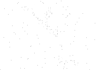 CC1(C)CCC(CN2CCN(c3ccc(C(=O)NS(=O)(=O)c4ccc(NCC5CCC(NCCCOc6cccc7c6CN(C6CCC(=O)NC6=O)C7=O)CC5)c([N+](=O)[O-])c4)c(Oc4cnc5[nH]ccc5c4)c3)CC2)=C(c2ccc(Cl)cc2)C1